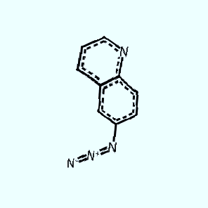 [N-]=[N+]=Nc1ccc2ncccc2c1